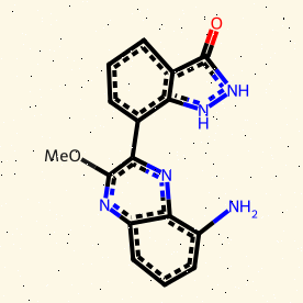 COc1nc2cccc(N)c2nc1-c1cccc2c(=O)[nH][nH]c12